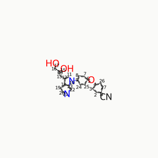 N#Cc1ccc(Oc2ccc(-n3cc(C[C@H](O)CO)c4ccncc43)cc2)cc1